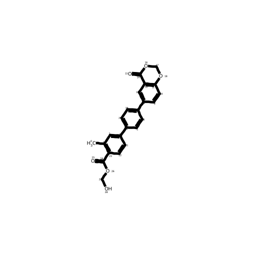 Cc1cc(-c2ccc(-c3ccc4c(c3)C(=O)OCO4)cc2)ccc1C(=O)OCO